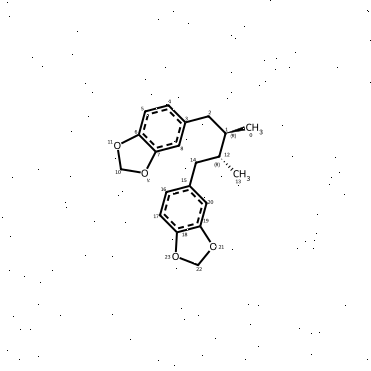 C[C@H](Cc1ccc2c(c1)OCO2)[C@H](C)Cc1ccc2c(c1)OCO2